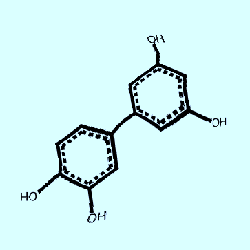 Oc1cc(O)cc(-c2ccc(O)c(O)c2)c1